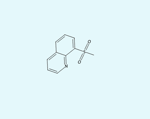 CS(=O)(=O)c1cccc2cccnc12